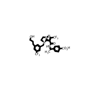 C[C@H](NC(=O)c1c(C(F)(F)F)nn2c1N(Cc1cc(CCCO)cc(C(F)(F)F)c1)CC2)c1ccc(C(=O)O)cc1